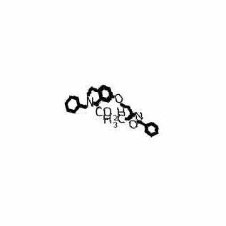 Cc1oc(-c2ccccc2)nc1CCOc1ccc2c(c1)C(C(=O)O)N(CC1CCCCC1)CC2